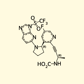 C[C@H](C#Cc1ncc(F)cc1[C@H]1CCCN1c1ccc2ncn(S(=O)(=O)C(F)(F)F)c2n1)NC(=O)O